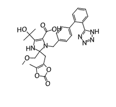 COCC1(Cc2oc(=O)oc2C)NC(C(C)(C)O)=C(C(=O)O)N1Cc1ccc(-c2ccccc2-c2nnn[nH]2)cc1